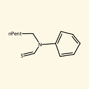 CCCCCCN(C=S)c1ccccc1